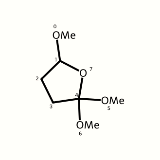 COC1CCC(OC)(OC)O1